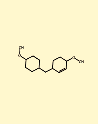 N#COC1C=CC(CC2CCC(OC#N)CC2)CC1